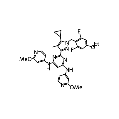 CCOc1cc(F)c(Cn2nc(-c3nc(Nc4ccnc(OC)c4)cc(Nc4ccnc(OC)c4)n3)c(C)c2C2CC2)c(F)c1